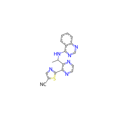 CC(Nc1ncnc2ccccc12)c1nccnc1-c1ncc(C#N)s1